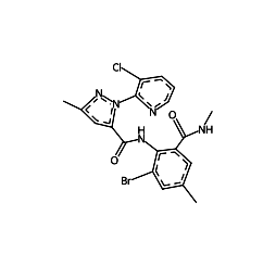 CNC(=O)c1cc(C)cc(Br)c1NC(=O)c1cc(C)nn1-c1ncccc1Cl